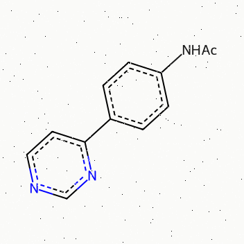 CC(=O)Nc1ccc(-c2ccncn2)cc1